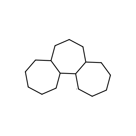 [CH]1CCCCC2CCCC3CCCCCC3C12